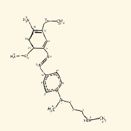 CNCCCN(C)c1ccc(/N=N/C2=CC(OC)=C(N)CC2OC)cc1